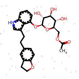 CC(=O)OC[C@H]1O[C@@H](Oc2cccc3[nH]cc(CCc4ccc5c(c4)CCO5)c23)[C@H](O)[C@@H](O)[C@@H]1O